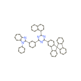 c1ccc(-n2c(-c3cccc(-c4nc(-c5ccc6c(c5)-c5ccccc5C65c6ccccc6-c6ccccc65)nc(-c5cccc6ccccc56)n4)c3)nc3ccccc32)cc1